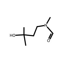 CN(C=O)CCC(C)(C)O